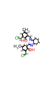 Cc1cc(/C=N/C2CCCCC2/N=C/c2cc(C)cc(CCl)c2O)c(O)c(CCl)c1